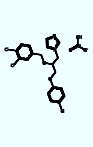 Clc1ccc(OCC(Cn2ccnc2)OCc2ccc(Cl)c(Cl)c2)cc1.O=[N+]([O-])O